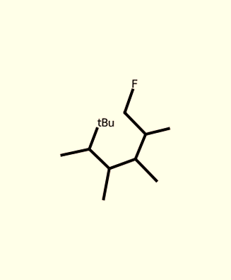 CC(CF)C(C)C(C)C(C)C(C)(C)C